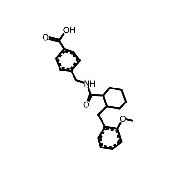 COc1ccccc1CC1CCCCC1C(=O)NCc1ccc(C(=O)O)cc1